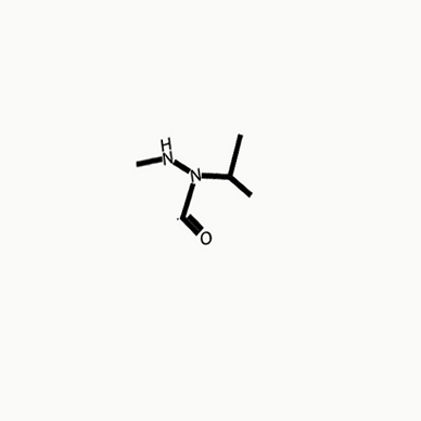 CNN([C]=O)C(C)C